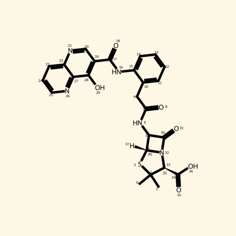 CC1(C)S[C@@H]2C(NC(=O)Cc3ccccc3NC(=O)c3cnc4cccnc4c3O)C(=O)N2[C@H]1C(=O)O